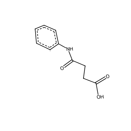 O=C(O)CCC(=O)Nc1[c]cccc1